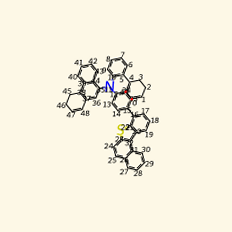 C1=CCCC(c2ccccc2N(c2ccc(-c3cccc4c3sc3ccc5ccccc5c34)cc2)c2cc3c(c4ccccc24)CCC=C3)=C1